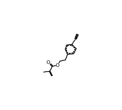 C#Cc1ccc(CCOC(=O)C(=C)C)cc1